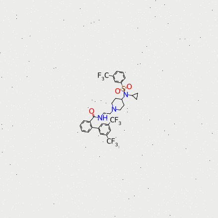 O=C(NCCN1CCC(N(C2CC2)S(=O)(=O)c2cccc(C(F)(F)F)c2)CC1)c1ccccc1-c1cc(C(F)(F)F)cc(C(F)(F)F)c1